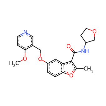 COc1ccncc1COc1ccc2oc(C)c(C(=O)NC3CCOC3)c2c1